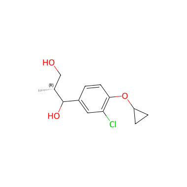 C[C@H](CO)C(O)c1ccc(OC2CC2)c(Cl)c1